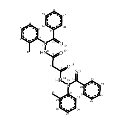 Cc1ccccc1N(NC(=O)CC(=O)NN(C(=S)c1ccccc1)c1ccccc1C)C(=O)c1ccccc1